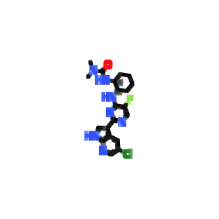 CN(C)C(=O)N[C@H]1CCCC[C@@H]1Nc1nc(-c2c[nH]c3ncc(Cl)cc23)ncc1F